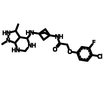 CC1NN(C)C2NCNC(NC34CC(NC(=O)COc5ccc(Cl)c(F)c5)(C3)C4)C12